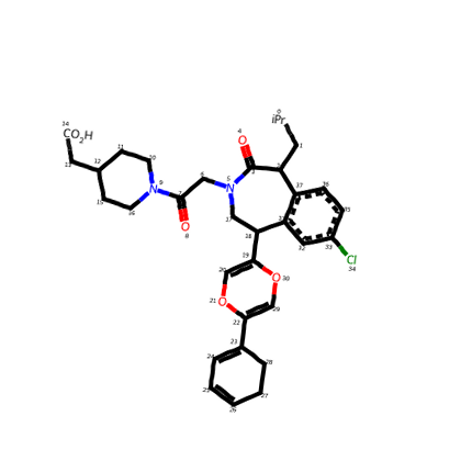 CC(C)CC1C(=O)N(CC(=O)N2CCC(CC(=O)O)CC2)CC(C2=COC(C3=CC=CCC3)=CO2)c2cc(Cl)ccc21